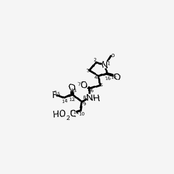 CN1CCC(CC(=O)NC(CC(=O)O)C(=O)CF)C1=O